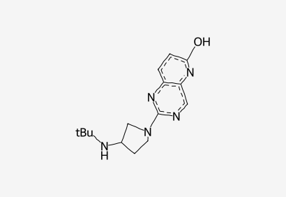 CC(C)(C)NC1CCN(c2ncc3nc(O)ccc3n2)C1